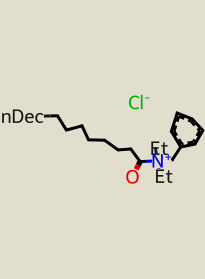 CCCCCCCCCCCCCCCCCC(=O)[N+](CC)(CC)Cc1ccccc1.[Cl-]